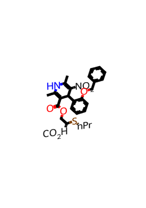 CCCSC(COC(=O)C1=C(C)NC(C)=C([N+](=O)[O-])C1c1ccccc1OCc1ccccc1)C(=O)O